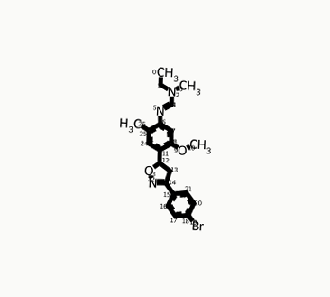 CCN(C)C=Nc1cc(OC)c(C2CC(c3ccc(Br)cc3)=NO2)cc1C